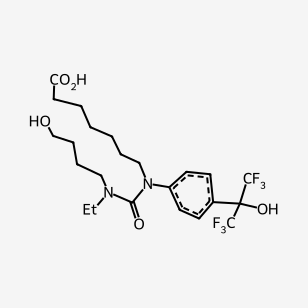 CCN(CCCCO)C(=O)N(CCCCCCC(=O)O)c1ccc(C(O)(C(F)(F)F)C(F)(F)F)cc1